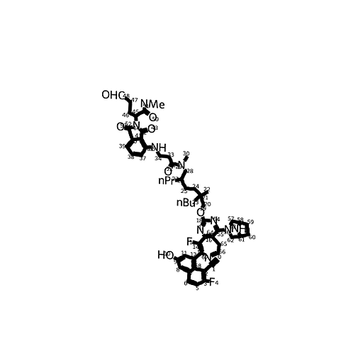 C#Cc1c(F)ccc2cc(O)cc(C3=C(F)c4nc(OCC(C)(CCCC)CCC(CCC)CN(C)C(=O)CCNc5cccc6c5C(=O)N(C(CCC=O)C(=O)NC)C6=O)nc(N5CC6CCC(C5)N6)c4CC=N3)c12